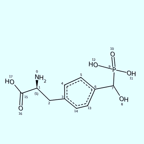 N[C@@H](Cc1ccc(C(O)P(=O)(O)O)cc1)C(=O)O